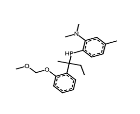 CCC(C)(Pc1ccc(C)cc1N(C)C)c1ccccc1OCOC